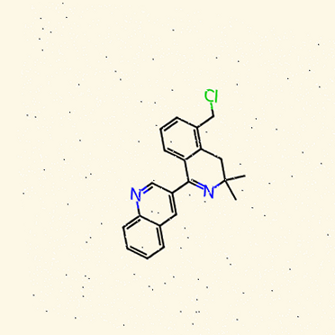 CC1(C)Cc2c(CCl)cccc2C(c2cnc3ccccc3c2)=N1